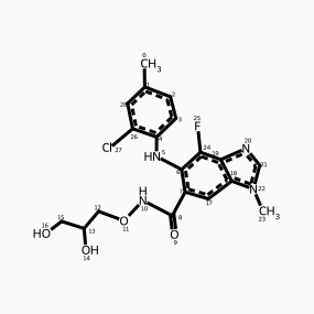 Cc1ccc(Nc2c(C(=O)NOCC(O)CO)cc3c(ncn3C)c2F)c(Cl)c1